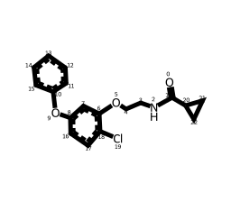 O=C(NCCOc1cc(Oc2ccccc2)ccc1Cl)C1CC1